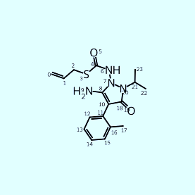 C=CCSC(=O)Nn1c(N)c(-c2ccccc2C)c(=O)n1C(C)C